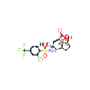 C[C@]1(NS(=O)(=O)c2ccc(C(F)(F)F)cc2Cl)C=C2C(=O)O[C@@H]3CCC(C1)[C@]23O